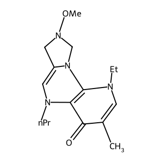 CCCN1C=C2CN(OC)CN2c2c1c(=O)c(C)cn2CC